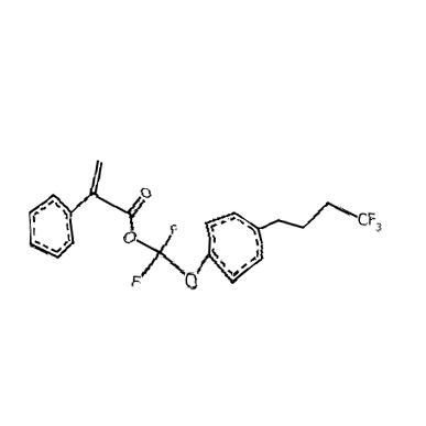 C=C(C(=O)OC(F)(F)Oc1ccc(CCCC(F)(F)F)cc1)c1ccccc1